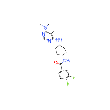 Cc1c(N[C@H]2CC[C@@H](NC(=O)c3ccc(F)c(F)c3)CC2)ncnc1N(C)C